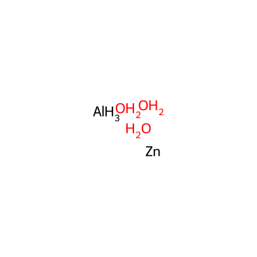 O.O.O.[AlH3].[Zn]